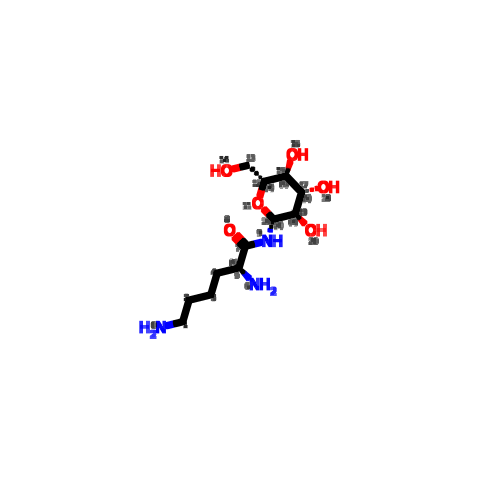 NCCCC[C@H](N)C(=O)N[C@@H]1O[C@H](CO)[C@@H](O)[C@H](O)[C@H]1O